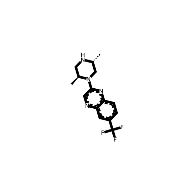 C[C@@H]1CN(c2cnc3cc(C(F)(F)F)ccc3n2)[C@@H](C)CN1